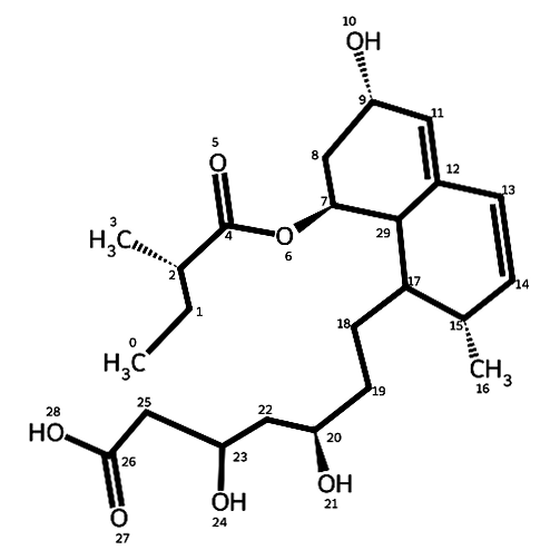 CC[C@H](C)C(=O)O[C@H]1C[C@H](O)C=C2C=C[C@H](C)C(CC[C@@H](O)CC(O)CC(=O)O)C21